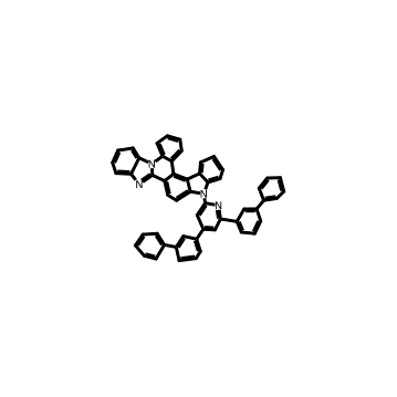 c1ccc(-c2cccc(-c3cc(-c4cccc(-c5ccccc5)c4)nc(-n4c5ccccc5c5c6c7ccccc7n7c8ccccc8nc7c6ccc54)c3)c2)cc1